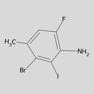 Cc1cc(F)c(N)c(I)c1Br